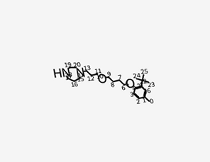 Cc1ccc(OCCCCOCCCN2CCCNCC2)c(C(C)(C)C)c1